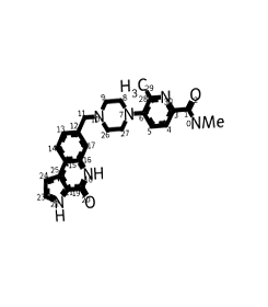 CNC(=O)c1ccc(N2CCN(Cc3ccc4c(c3)[nH]c(=O)c3[nH]ccc34)CC2)c(C)n1